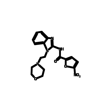 O=C(Nc1nc2ccccc2n1CCN1CCOCC1)c1ccc([N+](=O)[O-])o1